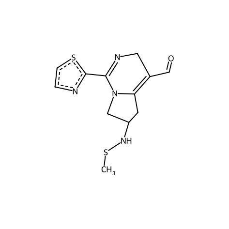 CSNC1CC2=C(C=O)CN=C(c3nccs3)N2C1